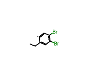 CCc1[c]cc(Br)c(Br)c1